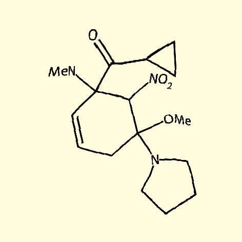 CNC1(C(=O)C2CC2)C=CCC(OC)(N2CCCC2)C1[N+](=O)[O-]